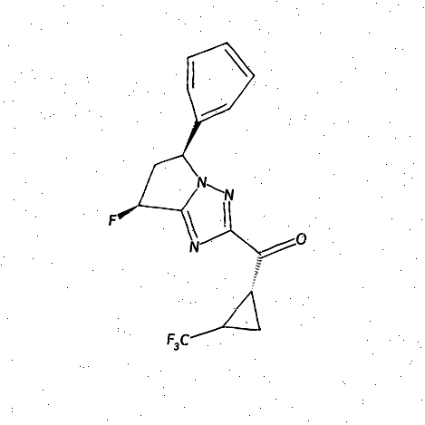 O=C(c1nc2n(n1)[C@H](c1ccccc1)C[C@@H]2F)[C@@H]1CC1C(F)(F)F